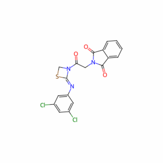 O=C1c2ccccc2C(=O)N1CC(=O)N1CS/C1=N\c1cc(Cl)cc(Cl)c1